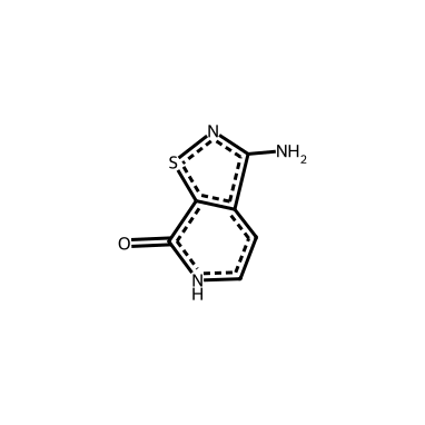 Nc1nsc2c(=O)[nH]ccc12